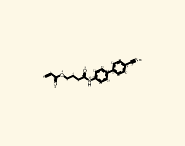 C=CC(=O)OCCCC(=O)Nc1ccc(-c2ccc(C#N)cc2)cc1